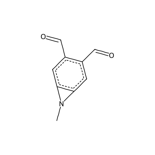 CN1c2cc(C=O)c(C=O)cc21